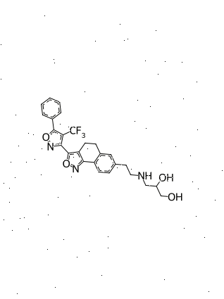 OCC(O)CNCCc1ccc2c(c1)CCc1c-2noc1-c1noc(-c2ccccc2)c1C(F)(F)F